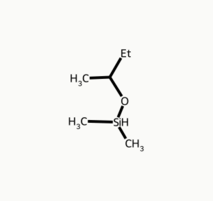 CCC(C)O[SiH](C)C